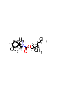 C=CCCC(C)(C)COC(=O)N[C@H](C(=O)O)C1(C)CCCCC1